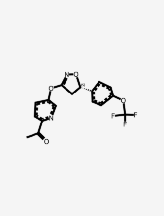 CC(=O)c1ccc(OC2=NO[C@H](c3ccc(OC(F)(F)F)cc3)C2)cn1